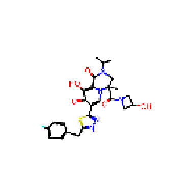 CC(C)N1C[C@](C)(C(=O)N2CC(O)C2)n2cc(-c3nnc(Cc4ccc(F)cc4)s3)c(=O)c(O)c2C1=O